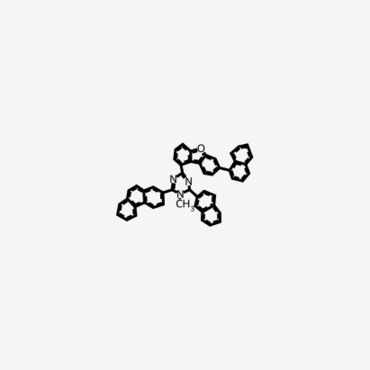 CN1C(c2ccc3c(ccc4ccccc43)c2)=NC(c2cccc3oc4cc(-c5cccc6ccccc56)ccc4c23)=NC1c1ccc2ccccc2c1